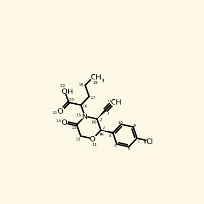 C#C[C@H]1[C@@H](c2ccc(Cl)cc2)OCC(=O)N1C(CCC)C(=O)O